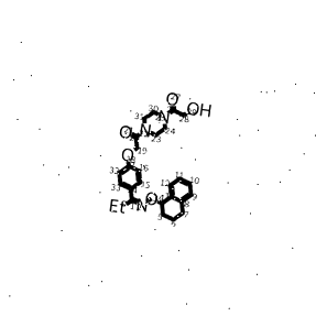 CC/C(=N/OC1CCCc2ccccc21)c1ccc(OCC(=O)N2CCN(C(=O)CO)CC2)cc1